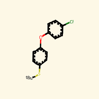 CC(C)(C)Sc1ccc(Oc2ccc(Cl)cc2)cc1